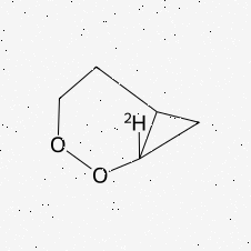 [2H]C12CC1CCOO2